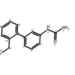 NC(=O)Nc1cccc(-c2ccccc2CBr)c1